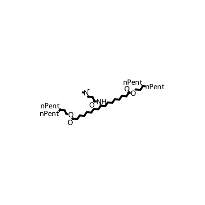 CCCCCC(CCCCC)CCOC(=O)CCCCCCCC(CCCCCCCC(=O)OCCC(CCCCC)CCCCC)NC(=O)CCN(C)C